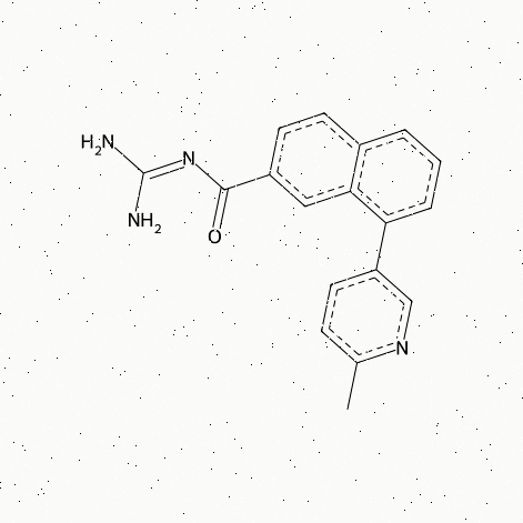 Cc1ccc(-c2cccc3ccc(C(=O)N=C(N)N)cc23)cn1